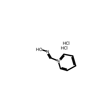 Cl.Cl.ON=C[n+]1ccccc1